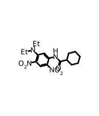 CCN(CC)c1cc(NC(=O)C2CCCCC2)c([N+](=O)[O-])cc1[N+](=O)[O-]